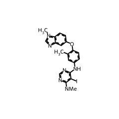 CNc1ncnc(Nc2ccc(Oc3ccc4c(c3)ncn4C)c(C)c2)c1I